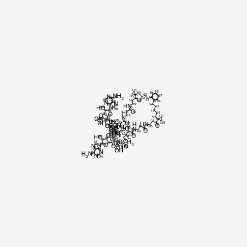 CC(C)(COP(=O)(O)OP(=O)(O)OCC1OC(n2cnc3c(N)ncnc32)C(O)C1OP(=O)(O)O)C(O)C(=O)NCCC(=O)NCCC(=O)C1(CCCCCc2ccccc2CCCCC2(C(=O)CCNC(=O)CCNC(=O)C(O)C(C)(C)COP(=O)(O)OP(=O)(O)OCC3OC(n4cnc5c(N)ncnc54)C(O)C3OP(=O)(O)O)CC2)CC1